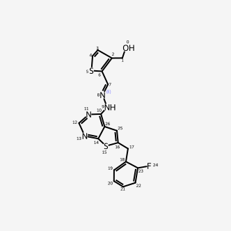 OCc1ccsc1/C=N/Nc1ncnc2sc(Cc3ccccc3F)cc12